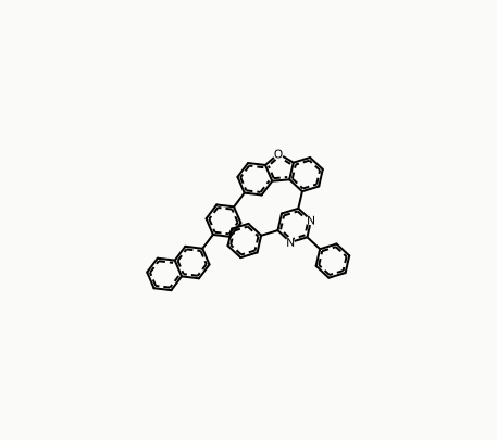 c1ccc(-c2cc(-c3cccc4oc5ccc(-c6ccc(-c7ccc8ccccc8c7)cc6)cc5c34)nc(-c3ccccc3)n2)cc1